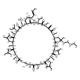 C=C1C(=O)N(C)[C@@H](CC(C)(C)OCOCC)C(=O)N[C@@H](C(C)C)C(=O)N(C)[C@@H](CC(C)C)C(=O)N[C@@H](C)C(=O)N[C@H](C)CC(=O)N(C)[C@H](CC(C)C)C(=O)N(C)[C@@H](CC(C)C)C(=O)N(C)[C@@H](C(C)C)C(=O)N(C)[C@@H]([C@H](O)[C@H](C)C/C=C/C)C(=O)N[C@@H](CC)C(=O)N1C